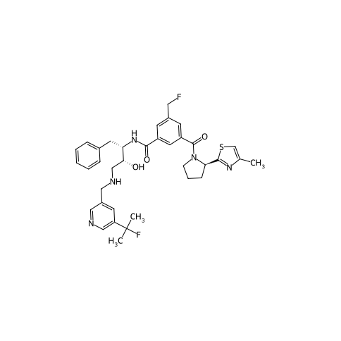 Cc1csc([C@H]2CCCN2C(=O)c2cc(CF)cc(C(=O)N[C@@H](Cc3ccccc3)[C@H](O)CNCc3cncc(C(C)(C)F)c3)c2)n1